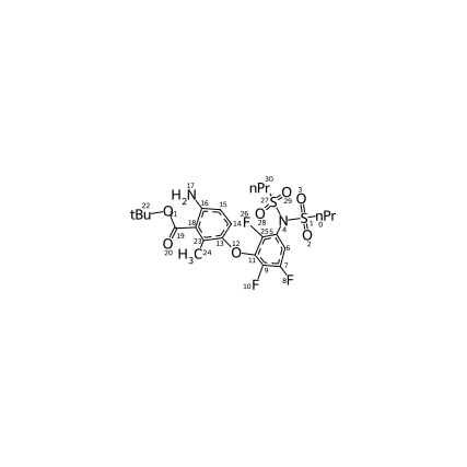 CCCS(=O)(=O)N(c1cc(F)c(F)c(Oc2ccc(N)c(C(=O)OC(C)(C)C)c2C)c1F)S(=O)(=O)CCC